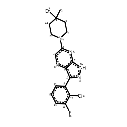 CCC1(C)CCN(c2cnc3c(-c4cccc(F)c4Cl)n[nH]c3n2)CC1